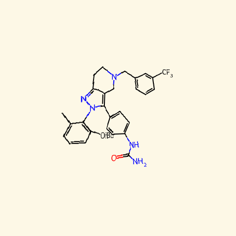 Cc1cccc(OCC(C)C)c1-n1nc2c(c1-c1ccc(NC(N)=O)cc1)CN(Cc1cccc(C(F)(F)F)c1)CC2